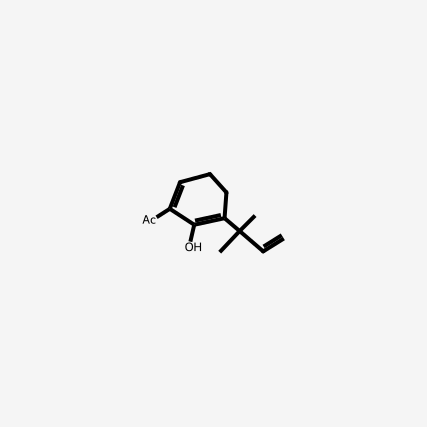 C=CC(C)(C)C1=C(O)C(C(C)=O)=CCC1